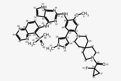 COc1cc(N2CCC3(CCN(C(=O)C4(F)CC4)CC3)CC2)c(-c2cnn(C)c2)cc1Nc1nc(Nc2ccc3nccnc3c2P(C)(C)=O)c2cc[nH]c2n1